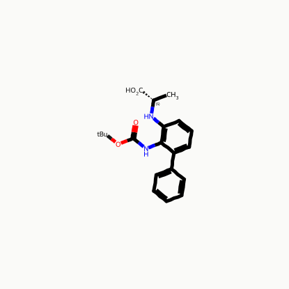 C[C@H](Nc1cccc(-c2ccccc2)c1NC(=O)OC(C)(C)C)C(=O)O